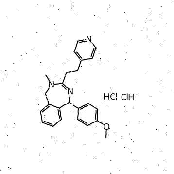 COc1ccc(C2N=C(CCc3ccncc3)N(C)Cc3ccccc32)cc1.Cl.Cl